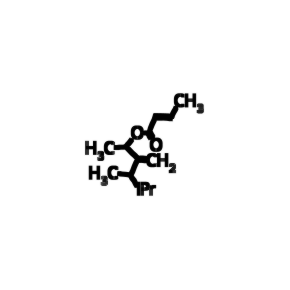 C=C(C(C)OC(=O)/C=C/C)C(C)C(C)C